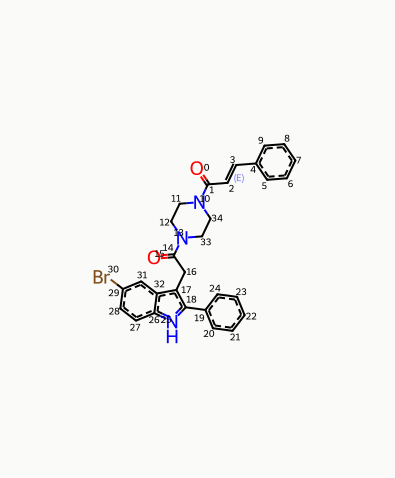 O=C(/C=C/c1ccccc1)N1CCN(C(=O)Cc2c(-c3ccccc3)[nH]c3ccc(Br)cc23)CC1